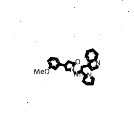 COc1cccc(C2CC(=O)N(/N=C(\Cc3ccnc4ccccc34)c3ccccn3)C2)c1